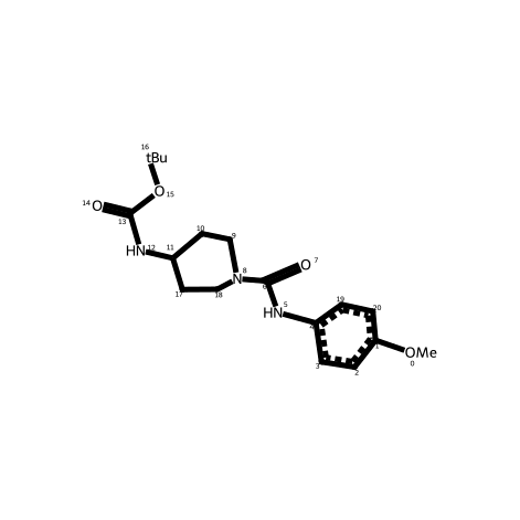 COc1ccc(NC(=O)N2CCC(NC(=O)OC(C)(C)C)CC2)cc1